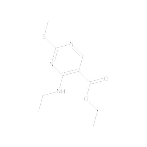 CCNc1nc(SC)ncc1C(=O)OCC